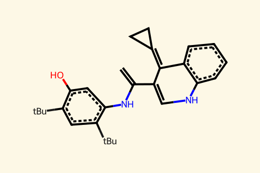 C=C(Nc1cc(O)c(C(C)(C)C)cc1C(C)(C)C)C1=CNc2ccccc2C1=C1CC1